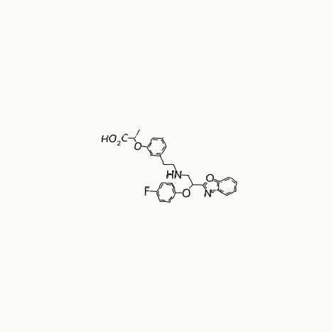 CC(Oc1cccc(CCNCC(Oc2ccc(F)cc2)c2nc3ccccc3o2)c1)C(=O)O